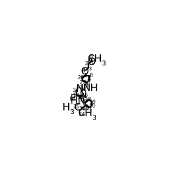 COCCOc1ccc(Nc2ncc(F)c(Nc3ccccc3C(C)C)n2)cc1